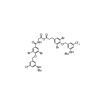 CCC(C)Nc1cc(Cl)cc(COc2c(Br)cc(C(=O)NCC(=O)OC(=O)CCc3cc(Br)c(OCc4cc(NC(C)CC)cc(C(F)(F)F)c4)c(Br)c3)cc2Br)c1